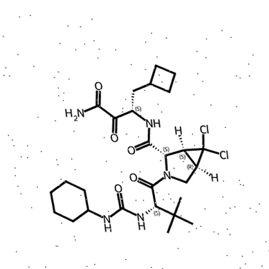 CC(C)(C)[C@H](NC(=O)NC1CCCCC1)C(=O)N1C[C@H]2[C@@H]([C@H]1C(=O)N[C@@H](CC1CCC1)C(=O)C(N)=O)C2(Cl)Cl